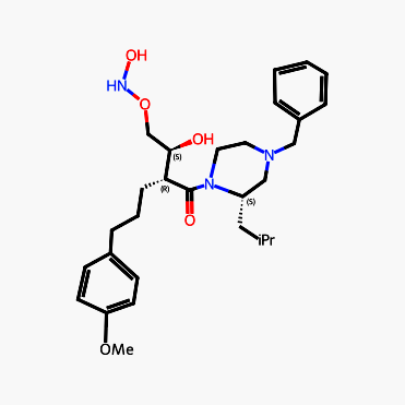 COc1ccc(CCC[C@@H](C(=O)N2CCN(Cc3ccccc3)C[C@@H]2CC(C)C)[C@H](O)CONO)cc1